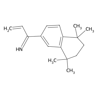 C=CC(=N)c1ccc2c(c1)C(C)(C)CCC2(C)C